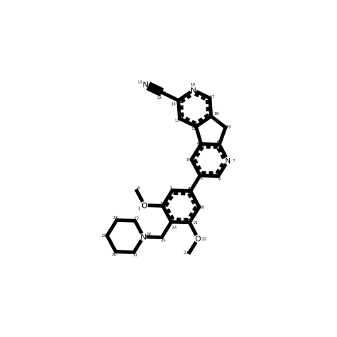 COc1cc(-c2cnc3c(c2)-c2cc(C#N)ncc2C3)cc(OC)c1CN1CCCCC1